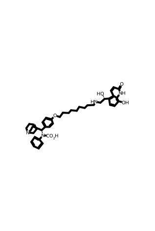 O=C(O)N(c1ccccc1)[C@@H](c1ccc(OCCCCCCCCCNC[C@H](O)c2ccc(O)c3[nH]c(=O)ccc23)cc1)C1CN2CCC1CC2